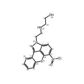 O=[N+]([O-])c1ccc2c3c(nn2CCNCCO)-c2ncccc2Sc13